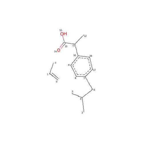 C=CC.CC(C)Cc1ccc(C(C)C(=O)O)cc1